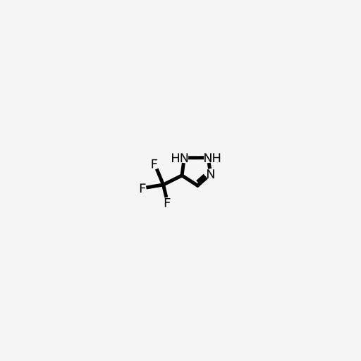 FC(F)(F)C1C=NNN1